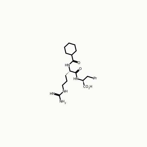 CC(C)C[C@H](NC(=O)[C@H](CCCNC(=N)N)NC(=O)C1CCCCC1)C(=O)O